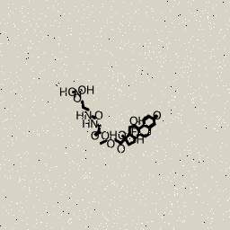 CC(OCC(=O)C1(O)CCC2[C@@H]3CCC4=CC(=O)C=C[C@]4(C)C3(F)[C@@H](O)C[C@@]21C)OC(=O)CNC(=O)NCCCON(O)O